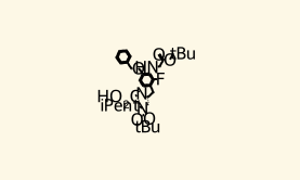 CCCC(C)N(C[C@H]1Cc2c(cc(OCc3ccccc3)c(NCC(=O)OC(C)(C)C)c2F)N1C(=O)O)C(=O)OC(C)(C)C